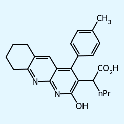 CCCC(C(=O)O)c1c(O)nc2nc3c(cc2c1-c1ccc(C)cc1)CCCC3